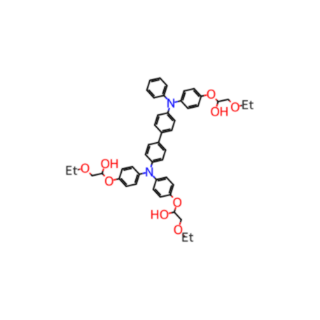 CCOCC(O)Oc1ccc(N(c2ccccc2)c2ccc(-c3ccc(N(c4ccc(OC(O)COCC)cc4)c4ccc(OC(O)COCC)cc4)cc3)cc2)cc1